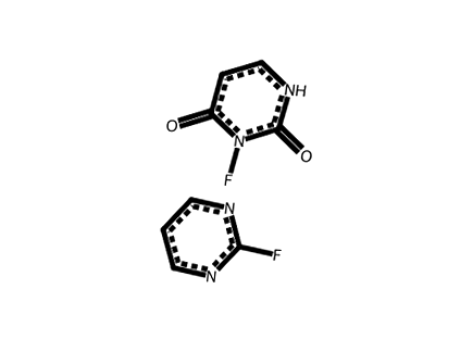 Fc1ncccn1.O=c1cc[nH]c(=O)n1F